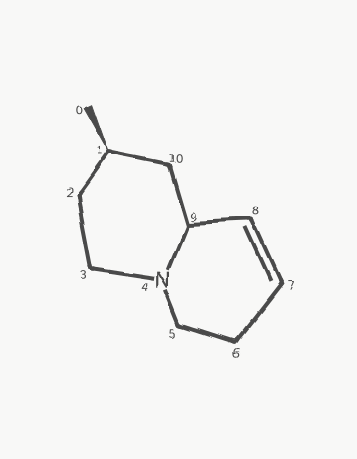 C[C@@H]1CCN2CCC=CC2C1